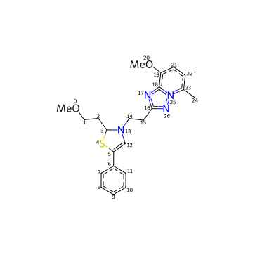 COCCC1SC(c2ccccc2)=CN1CCc1nc2c(OC)ccc(C)n2n1